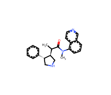 CC(C(=O)N(C)c1cccc2cnccc12)[C@H]1CNC[C@@H]1c1ccccc1